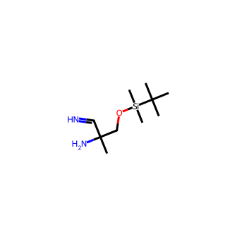 CC(N)(C=N)CO[Si](C)(C)C(C)(C)C